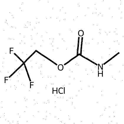 CNC(=O)OCC(F)(F)F.Cl